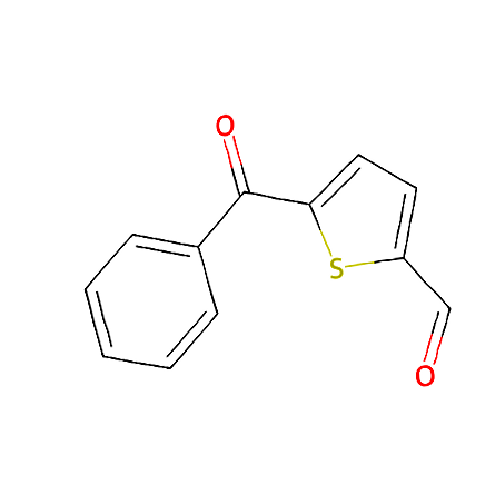 O=Cc1ccc(C(=O)c2ccccc2)s1